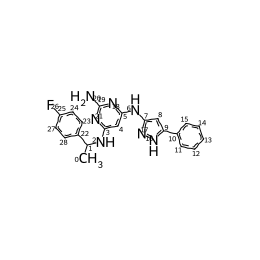 CC(Nc1cc(Nc2cc(-c3ccccc3)[nH]n2)nc(N)n1)c1ccc(F)cc1